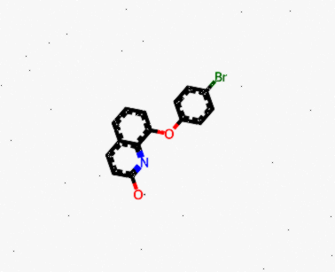 [O]c1ccc2cccc(Oc3ccc(Br)cc3)c2n1